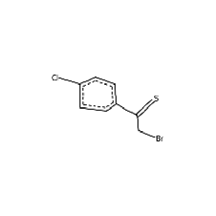 S=C(CBr)c1ccc(Cl)cc1